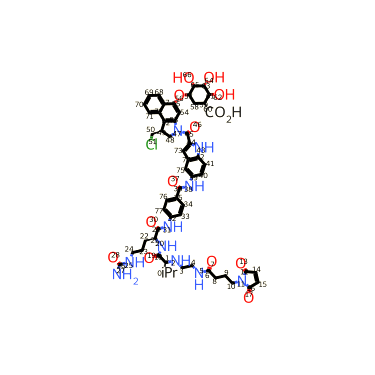 CC(C)[C@H](NCCNC(=O)CCCN1C(=O)C=CC1=O)C(=O)N[C@@H](CCCNC(N)=O)C(=O)Nc1ccc(C(=O)Nc2ccc3[nH]c(C(=O)N4C[C@@H](CCl)c5c4cc(OC4C[C@H](C(=O)O)C(O)[C@H](O)C4O)c4ccccc54)cc3c2)cc1